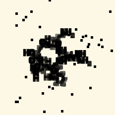 N=C(N)NCCC[C@@H]1NC(=O)[C@H](CCCCN)NC(=O)CC[C@@H](C(=O)O)NC(=O)[C@H](Cc2cnc[nH]2)NC(=O)[C@@H](Cc2c[nH]c3ccccc23)NC1=O